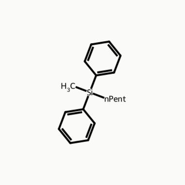 CCCCC[Si](C)(c1ccccc1)c1ccccc1